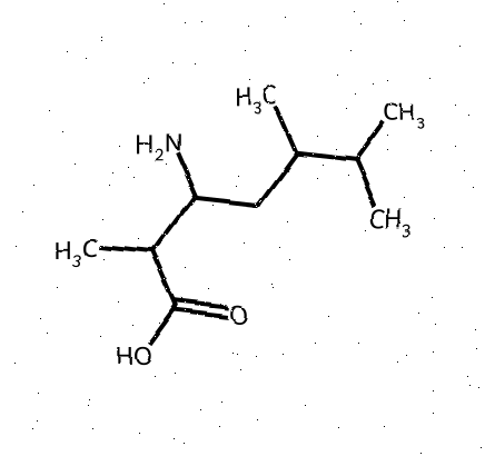 CC(C)C(C)CC(N)C(C)C(=O)O